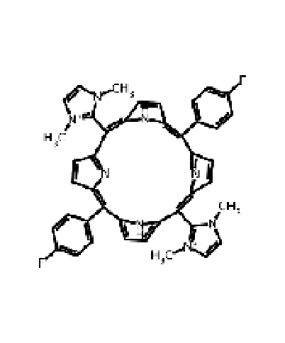 Cn1cc[n+](C)c1-c1c2nc(c(-c3ccc(F)cc3)c3ccc([nH]3)c(-c3n(C)cc[n+]3C)c3nc(c(-c4ccc(F)cc4)c4ccc1[nH]4)C=C3)C=C2